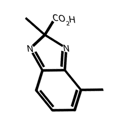 Cc1cccc2c1=NC(C)(C(=O)O)N=2